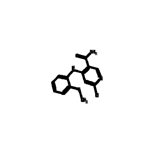 CSc1ccccc1Nc1cc(Cl)ncc1C(N)=O